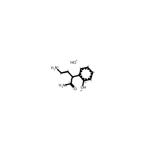 Cl.NCCC(C(N)=O)c1ccccc1O